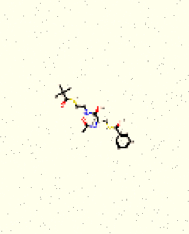 CC(=O)N[C@@H](CSC(=O)c1ccccc1)C(=O)NCCSC(=O)C(C)(C)C